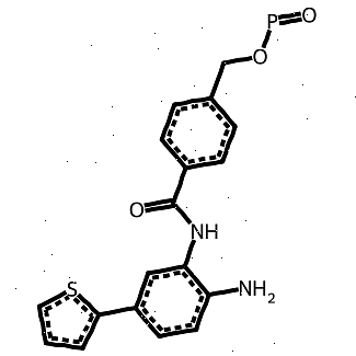 Nc1ccc(-c2cccs2)cc1NC(=O)c1ccc(COP=O)cc1